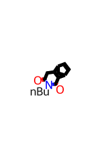 CCCCN1C(=O)CC2C3C=CC(C3)C2C1=O